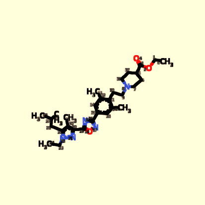 CCOC(=O)C1CCN(CCc2c(C)cc(-c3noc(-c4nn(CC)c(CC(C)C)c4C)n3)cc2C)CC1